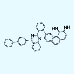 N=C1C=Cc2ccc3ccc(-c4ccccc4-c4nc(-c5ccc(-c6ccccc6)cc5)c5ccccc5n4)cc3c2C1=N